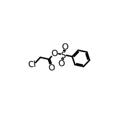 O=C(CCl)OS(=O)(=O)c1ccccc1